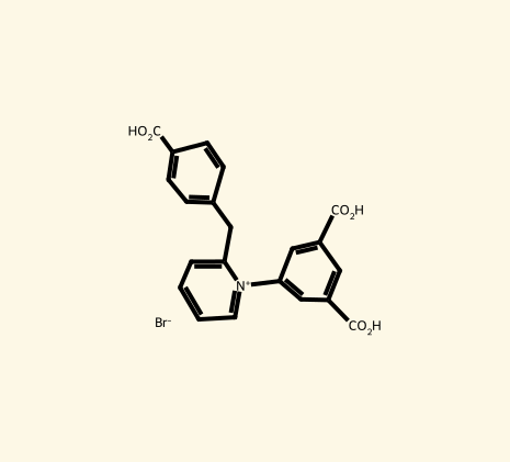 O=C(O)c1ccc(Cc2cccc[n+]2-c2cc(C(=O)O)cc(C(=O)O)c2)cc1.[Br-]